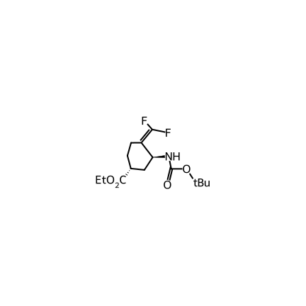 CCOC(=O)[C@@H]1CCC(=C(F)F)[C@@H](NC(=O)OC(C)(C)C)C1